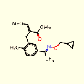 CO/C=C(\Cc1cc(C(C)=NOCC2CC2)ccc1C)C(=O)OC